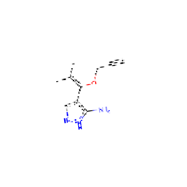 C#CCO/C(=C(/C)CC)c1cn[nH]c1N